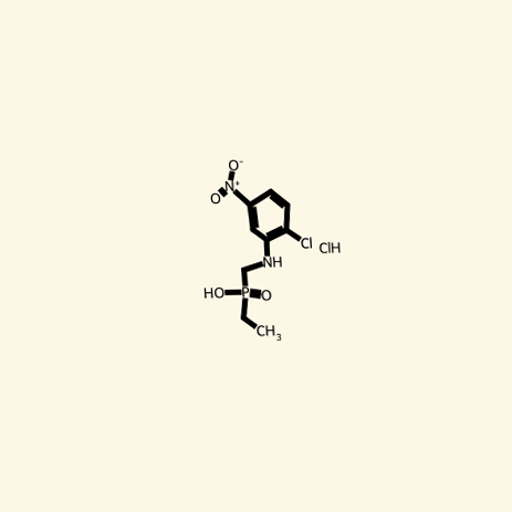 CCP(=O)(O)CNc1cc([N+](=O)[O-])ccc1Cl.Cl